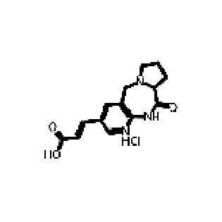 Cl.O=C(O)/C=C/c1cnc2c(c1)CN1CCCC1C(=O)N2